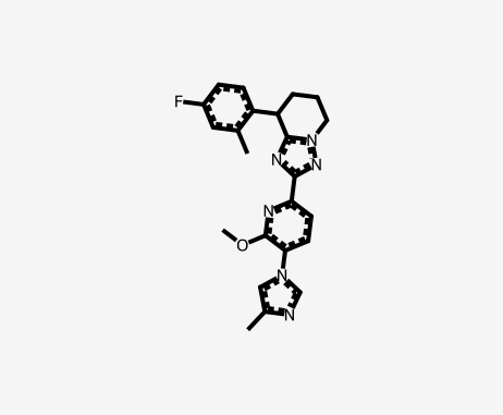 COc1nc(-c2nc3n(n2)CCCC3c2ccc(F)cc2C)ccc1-n1cnc(C)c1